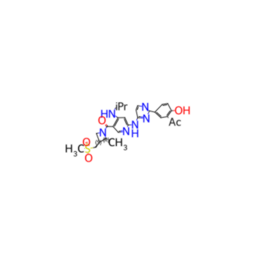 CC(=O)c1cc(-c2nccc(Nc3cc(NC(C)C)c(C(=O)N4C[C@H](CS(C)(=O)=O)[C@H]4C)cn3)n2)ccc1O